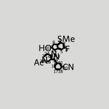 CSc1cc(F)cc2c1C[C@H](O)[C@@H]2n1nc(-c2cccc(C#N)c2)c2c1CCN(C(C)=O)C2